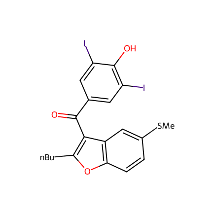 CCCCc1oc2ccc(SC)cc2c1C(=O)c1cc(I)c(O)c(I)c1